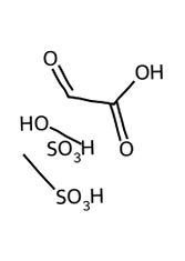 CS(=O)(=O)O.O=CC(=O)O.O=S(=O)(O)O